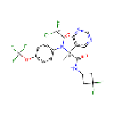 C[C@@](C(=O)NC1CC(F)(F)C1)(c1cncnc1)N(C(=O)[C@H](F)Cl)c1ccc(OC(F)(F)F)cc1